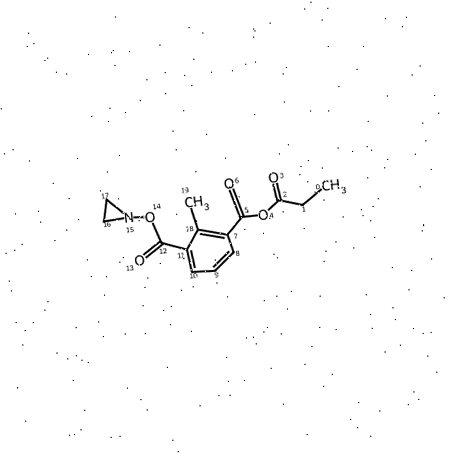 CCC(=O)OC(=O)c1cccc(C(=O)ON2CC2)c1C